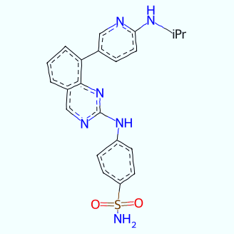 CC(C)Nc1ccc(-c2cccc3cnc(Nc4ccc(S(N)(=O)=O)cc4)nc23)cn1